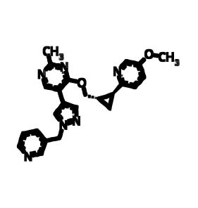 COc1ccc([C@H]2C[C@@H]2COc2nc(C)ncc2-c2cnn(Cc3cccnc3)c2)nc1